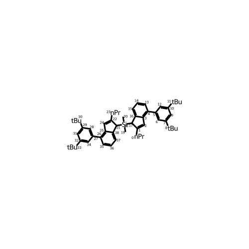 CCCC1=Cc2c(-c3cc(C(C)(C)C)cc(C(C)(C)C)c3)cccc2C1[Si](C)(C)C1C(CCC)=Cc2c(-c3cc(C(C)(C)C)cc(C(C)(C)C)c3)cccc21